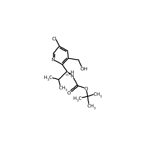 CC(C)[C@H](NC(=O)OC(C)(C)C)c1ncc(Cl)cc1CO